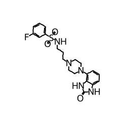 O=c1[nH]c2cccc(N3CCN(CCCNS(=O)(=O)c4cccc(F)c4)CC3)c2[nH]1